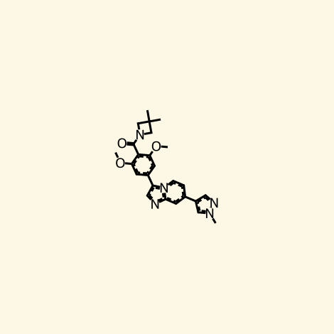 COc1cc(-c2cnc3cc(-c4cnn(C)c4)ccn23)cc(OC)c1C(=O)N1CC(C)(C)C1